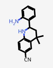 CC1(C)CC(c2ccccc2N)Nc2ccc(C#N)cc21